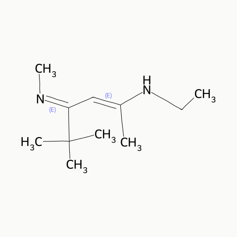 CCN/C(C)=C/C(=N\C)C(C)(C)C